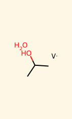 CC(C)O.O.[V]